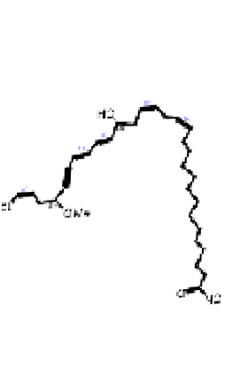 CC/C=C\C[C@@H](C#C/C=C/C=C/[C@H](O)C/C=C\C/C=C\CCCCCCCCCCCCC(=O)N=O)OC